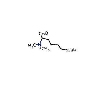 C[13C](=O)NCCCCC(C=O)N(C)[13CH3]